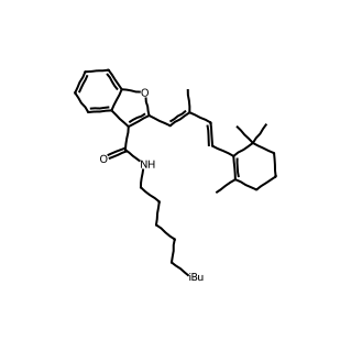 CCC(C)CCCCCNC(=O)c1c(/C=C(\C)C=CC2=C(C)CCCC2(C)C)oc2ccccc12